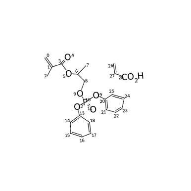 C=C(C)C(=O)OC(C)COP(=O)(Oc1ccccc1)Oc1ccccc1.C=CC(=O)O